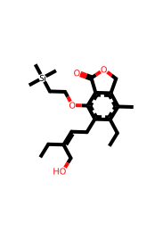 CCC(=CCc1c(CC)c(C)c2c(c1OCC[Si](C)(C)C)C(=O)OC2)CO